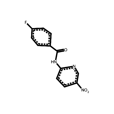 O=C(Nc1ccc([N+](=O)[O-])cn1)c1ccc(F)cc1